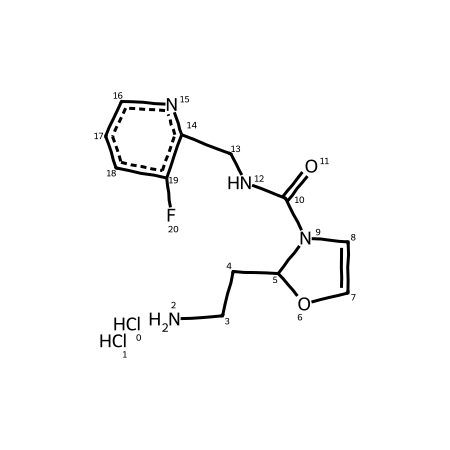 Cl.Cl.NCCC1OC=CN1C(=O)NCc1ncccc1F